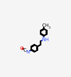 Cc1ccc(NCCc2ccc(N=C=O)cc2)cc1